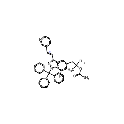 CC(C)(Cc1cc(F)c2c(c1)c(/C=C/c1cccnc1)nn2C(c1ccccc1)(c1ccccc1)c1ccccc1)OC(N)=O